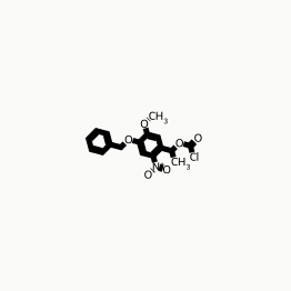 COc1cc(C(C)OC(=O)Cl)c([N+](=O)[O-])cc1OCc1ccccc1